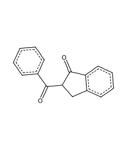 O=C(c1ccccc1)C1Cc2ccccc2C1=O